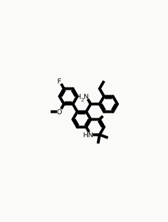 CCc1ccccc1C(N)c1c(-c2ccc(F)cc2OC)ccc2c1C(C)=CC(C)(C)N2